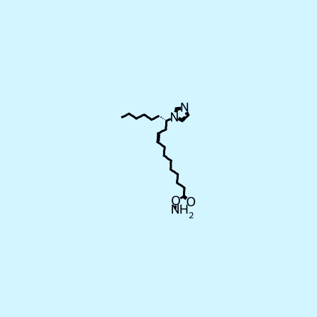 CCCCCC[C@@H](C/C=C\CCCCCCCC(=O)ON)n1ccnc1